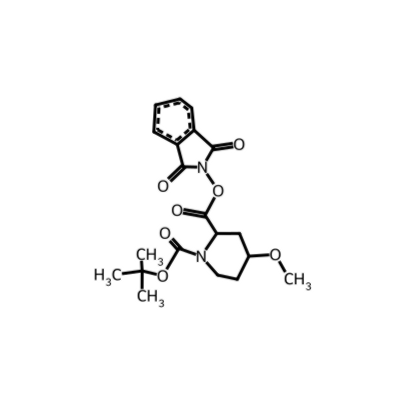 COC1CCN(C(=O)OC(C)(C)C)C(C(=O)ON2C(=O)c3ccccc3C2=O)C1